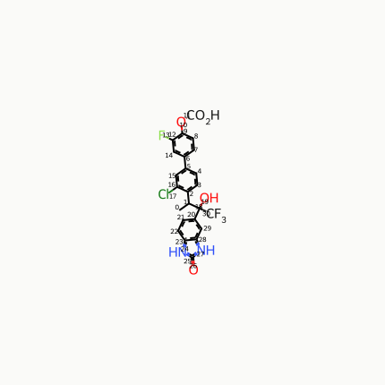 CC(c1ccc(-c2ccc(OC(=O)O)c(F)c2)cc1Cl)C(O)(c1ccc2[nH]c(=O)[nH]c2c1)C(F)(F)F